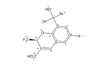 [2H]C([2H])(O)c1cc(F)cc2c1O[C@H](C(F)(F)F)C(C(=O)O)=C2